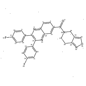 O=C(c1ccc2nc(-c3ccc(F)cc3)c(-c3ccc(F)cc3)nc2c1)N1CCc2nocc2C1